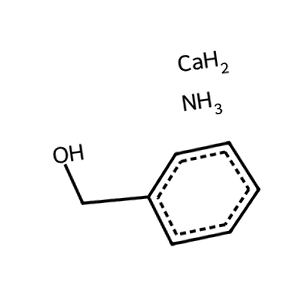 N.OCc1ccccc1.[CaH2]